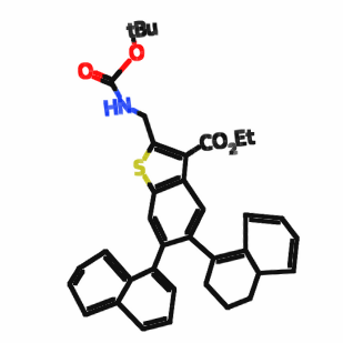 CCOC(=O)c1c(CNC(=O)OC(C)(C)C)sc2cc(-c3cccc4ccccc34)c(C3=C4C=CC=CC4CCC3)cc12